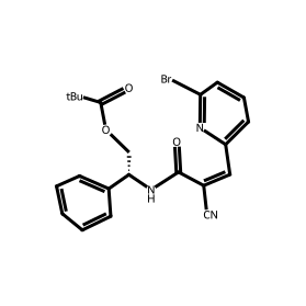 CC(C)(C)C(=O)OC[C@H](NC(=O)C(C#N)=Cc1cccc(Br)n1)c1ccccc1